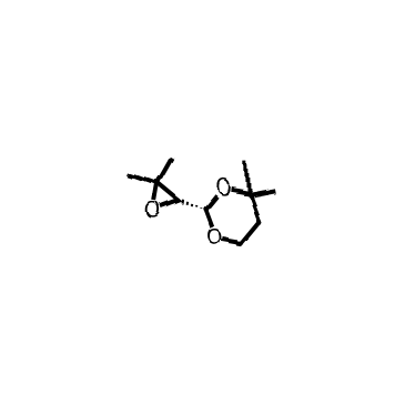 CC1(C)CCO[C@H](C2OC2(C)C)O1